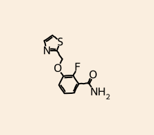 NC(=O)c1cccc(OCc2nccs2)c1F